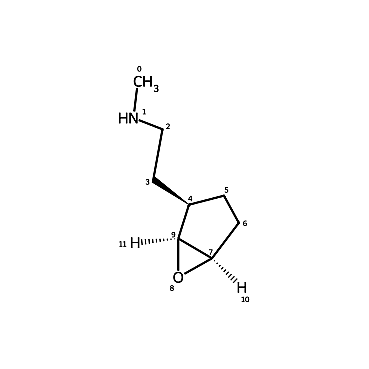 CNCC[C@H]1CC[C@H]2O[C@@H]12